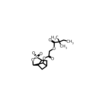 CCC(C)(C)C(=O)OCC(=O)OC1C2CC3C1OS(=O)(=O)C3C2